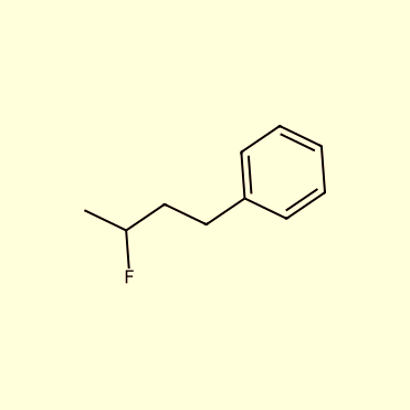 CC(F)CCc1ccccc1